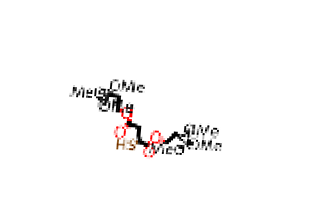 CO[Si](CCOC(=O)CC(S)C(=O)OCC[Si](OC)(OC)OC)(OC)OC